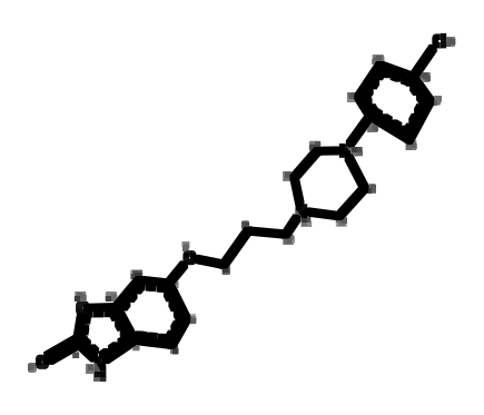 O=c1[nH]c2ccc(OCCCN3CCN(c4ccc(Cl)cc4)CC3)cc2o1